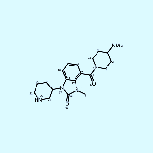 CNC1CCN(C(=O)c2cccc3c2n(C)c(=O)n3C2CCCNC2)CC1